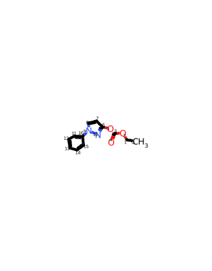 CCOC(=O)Oc1ccn(-c2ccccc2)n1